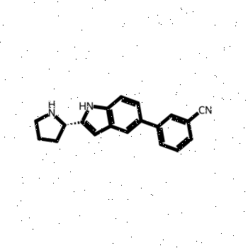 N#Cc1cccc(-c2ccc3[nH]c([C@@H]4CCCN4)cc3c2)c1